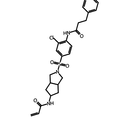 C=CC(=O)NC1CC2CN(S(=O)(=O)c3ccc(NC(=O)CCc4ccccc4)c(Cl)c3)CC2C1